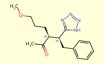 COCCC[C@H](C(C)=O)[C@H](Cc1ccccc1)c1nnn[nH]1